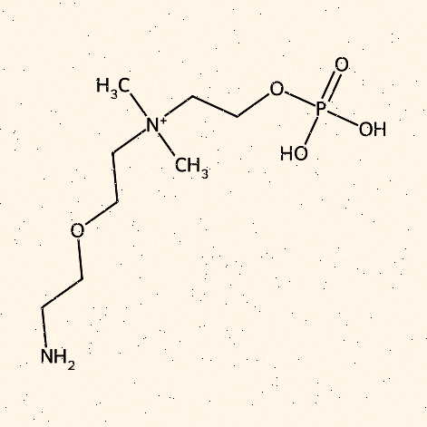 C[N+](C)(CCOCCN)CCOP(=O)(O)O